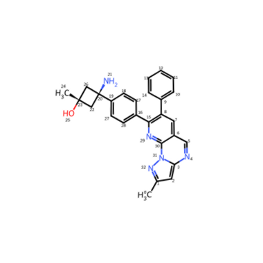 Cc1cc2ncc3cc(-c4ccccc4)c(-c4ccc([C@]5(N)C[C@](C)(O)C5)cc4)nc3n2n1